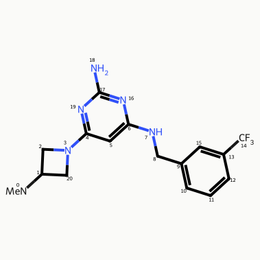 CNC1CN(c2cc(NCc3cccc(C(F)(F)F)c3)nc(N)n2)C1